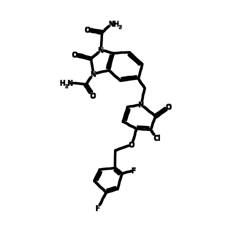 NC(=O)n1c(=O)n(C(N)=O)c2cc(Cn3ccc(OCc4ccc(F)cc4F)c(Cl)c3=O)ccc21